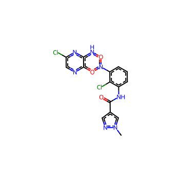 Cn1cc(C(=O)Nc2cccc(-n3o[nH]c4nc(Cl)cnc4o3)c2Cl)cn1